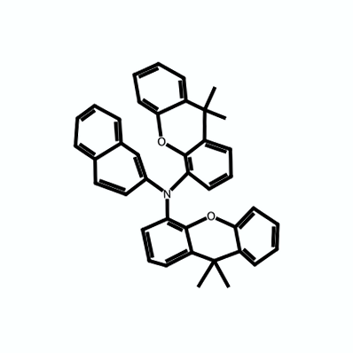 CC1(C)c2ccccc2Oc2c(N(c3ccc4ccccc4c3)c3cccc4c3Oc3ccccc3C4(C)C)cccc21